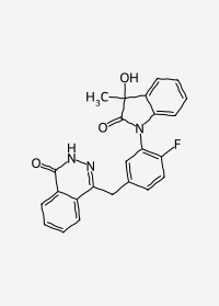 CC1(O)C(=O)N(c2cc(Cc3n[nH]c(=O)c4ccccc34)ccc2F)c2ccccc21